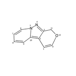 C1=Cc2c(nn3ccccc23)CO1